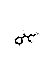 CCC=C(C=O)C(=O)c1ccccc1